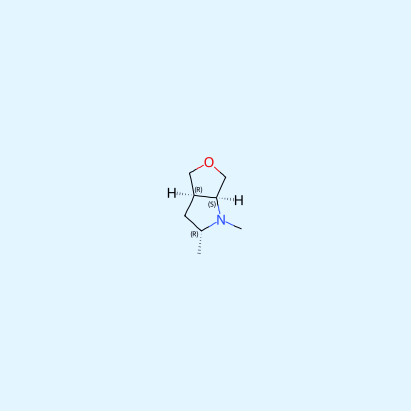 C[C@@H]1C[C@H]2COC[C@H]2N1C